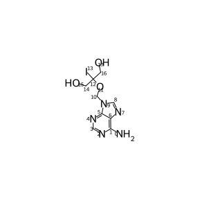 Nc1ncnc2c1ncn2COC(I)(CO)CO